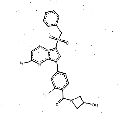 Cc1cc(-c2cn(S(=O)(=O)Cc3ccccc3)c3ncc(Br)nc23)ccc1C(=O)N1CC(O)C1